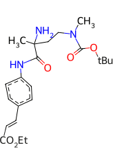 CCOC(=O)/C=C/c1ccc(NC(=O)C(C)(N)CCN(C)C(=O)OC(C)(C)C)cc1